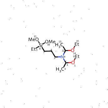 CCOC(C)N(CCC[Si](CC)(OC)OC)C(C)OCC